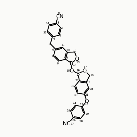 N#Cc1ccc(Cc2ccc3c(c2)COB3OB2OCc3cc(Oc4ccc(C#N)cc4)ccc32)cc1